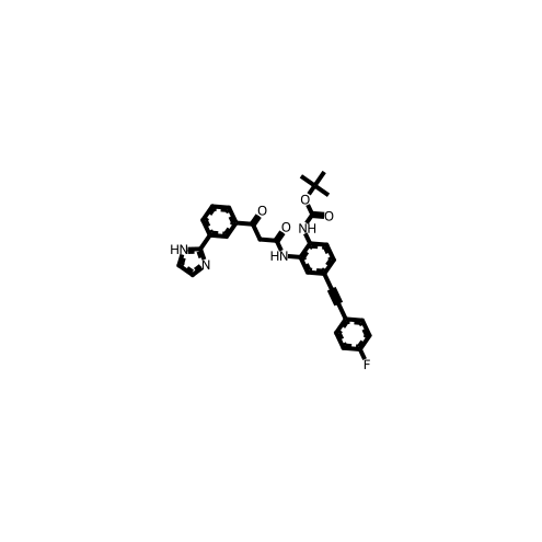 CC(C)(C)OC(=O)Nc1ccc(C#Cc2ccc(F)cc2)cc1NC(=O)CC(=O)c1cccc(-c2ncc[nH]2)c1